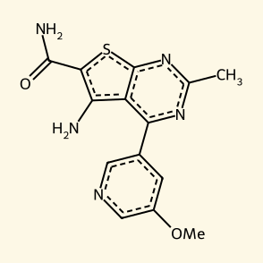 COc1cncc(-c2nc(C)nc3sc(C(N)=O)c(N)c23)c1